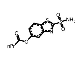 CCCC(=O)Oc1ccc2sc(S(N)(=O)=O)nc2c1